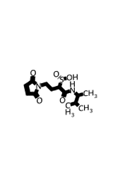 CC(C)C(C)NC(=O)C(CCN1C(=O)C=CC1=O)S(=O)O